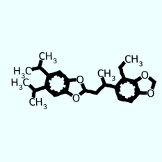 CCc1c(C(C)CC2Oc3cc(C(C)C)c(C(C)C)cc3O2)ccc2c1OCO2